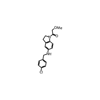 COCC(=O)N1CCc2cc(NCc3ccc(Cl)cc3)ccc21